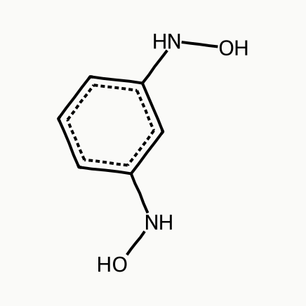 ONc1cccc(NO)c1